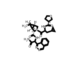 CC1(C)[C@@H]2[C@@H](C(=O)NC(C(N)=O)c3nncc4ccccc34)N(C(=O)C(CC3CC3)NC(=O)[C@H]3CCOC3)C[C@@H]21